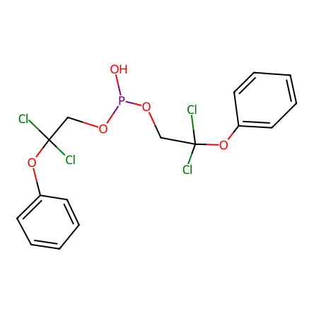 OP(OCC(Cl)(Cl)Oc1ccccc1)OCC(Cl)(Cl)Oc1ccccc1